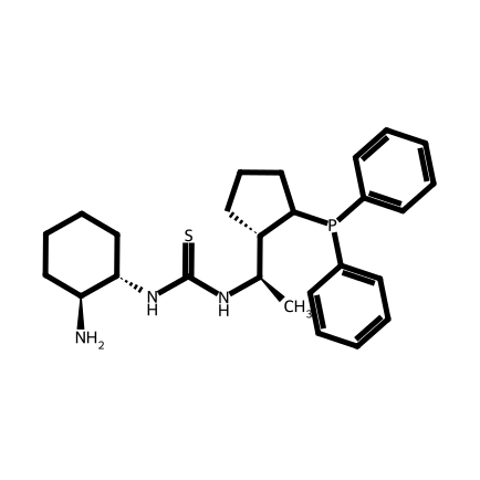 C[C@@H](NC(=S)N[C@H]1CCCC[C@@H]1N)[C@@H]1CCCC1P(c1ccccc1)c1ccccc1